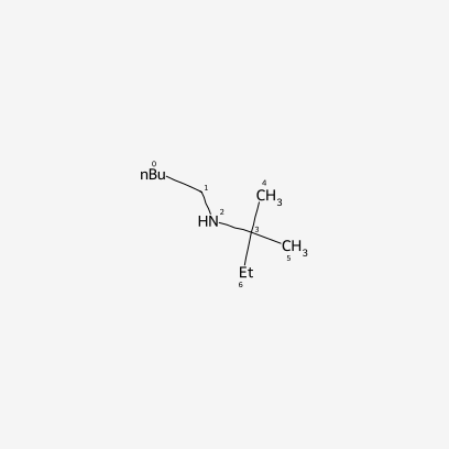 CCCCCNC(C)(C)CC